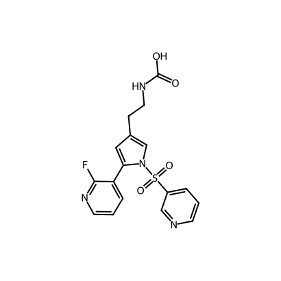 O=C(O)NCCc1cc(-c2cccnc2F)n(S(=O)(=O)c2cccnc2)c1